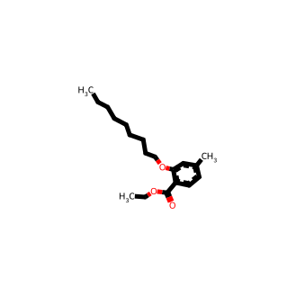 CCCCCCCCCOc1cc(C)ccc1C(=O)OCC